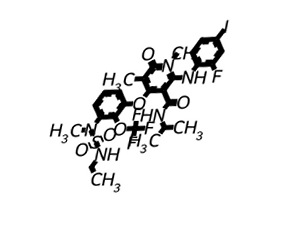 CCNS(=O)(=O)N(C)c1cccc(Oc2c(C(=O)NC(C)C)c(Nc3ccc(I)cc3F)n(C)c(=O)c2C)c1OC(F)(F)F